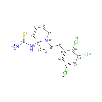 NC(=S)NC1(C(F)(F)F)C=CC=CN1CCc1cc(Cl)cc(Cl)c1Cl